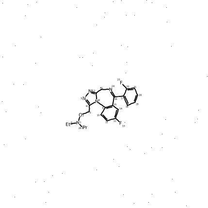 CCN(OCc1nnc2n1-c1ccc(F)cc1C(c1ccccc1F)=NC2)C(C)C